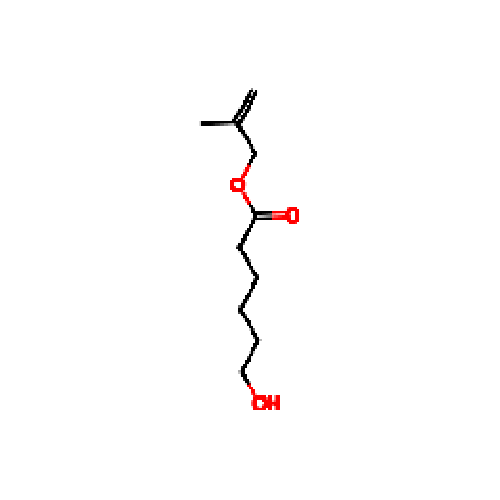 C=C(C)COC(=O)CCCCCO